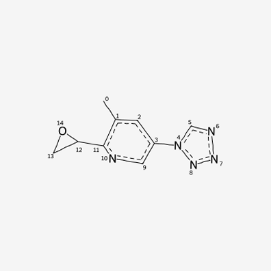 Cc1cc(-n2cnnn2)cnc1C1CO1